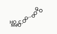 CO[C@@H](Cc1ccc(OCCCCOc2ccc(C(=O)c3ccccc3)cc2)cc1)C(=O)O